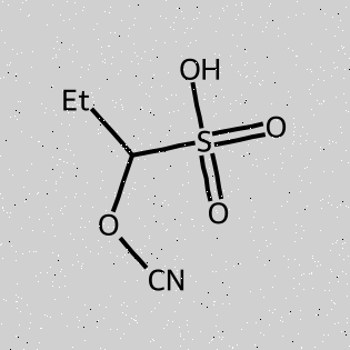 CCC(OC#N)S(=O)(=O)O